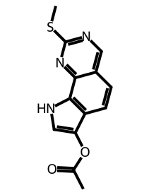 CSc1ncc2ccc3c(OC(C)=O)c[nH]c3c2n1